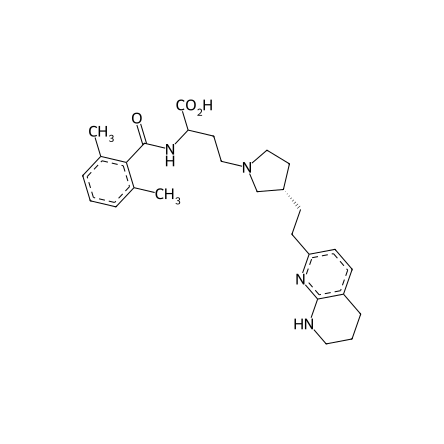 Cc1cccc(C)c1C(=O)NC(CCN1CC[C@H](CCc2ccc3c(n2)NCCC3)C1)C(=O)O